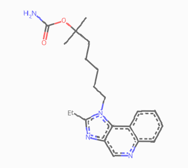 CCc1nc2cnc3ccccc3c2n1CCCCCC(C)(C)OC(N)=O